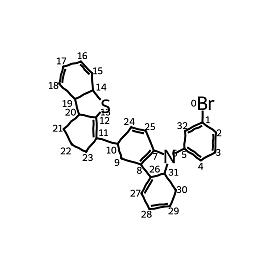 Brc1cccc(N2C3=C(CC(C4=C5SC6C=CC=CC6C5CCC4)C=C3)C3=CC=CCC32)c1